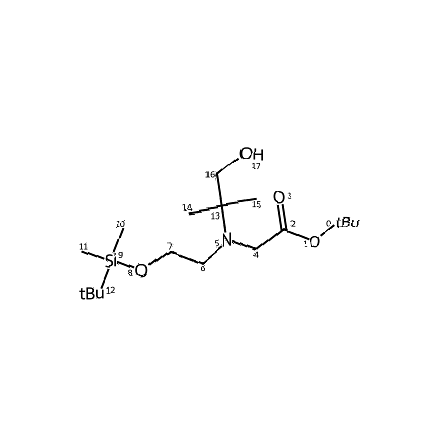 CC(C)(C)OC(=O)CN(CCO[Si](C)(C)C(C)(C)C)C(C)(C)CO